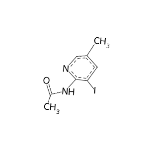 CC(=O)Nc1ncc(C)cc1I